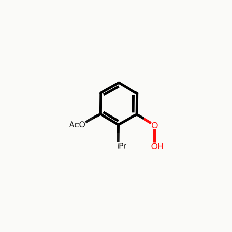 CC(=O)Oc1cccc(OO)c1C(C)C